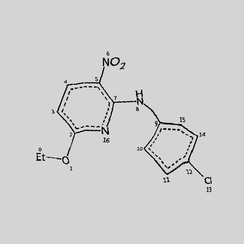 CCOc1ccc([N+](=O)[O-])c(Nc2ccc(Cl)cc2)n1